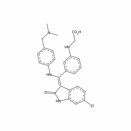 CN(C)Cc1ccc(N/C(=C2\C(=O)Nc3cc(Cl)ccc32)c2cccc(NCC(=O)O)c2)cc1